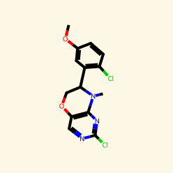 COc1ccc(Cl)c(C2COc3cnc(Cl)nc3N2C)c1